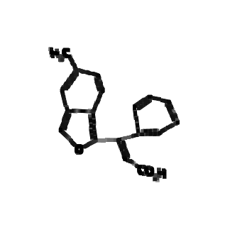 Cc1ccc2c(C(=CC(=O)O)c3ccccc3)occ2c1